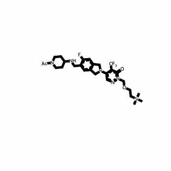 CC(=O)N1CCC(NCc2cc3c(cc2F)CN(c2cnn(COCC[Si](C)(C)C)c(=O)c2C(F)(F)F)C3)CC1